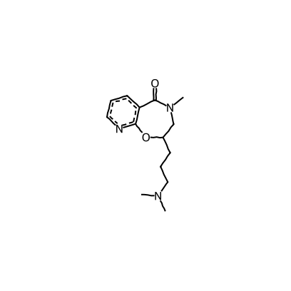 CN(C)CCCC1CN(C)C(=O)c2cccnc2O1